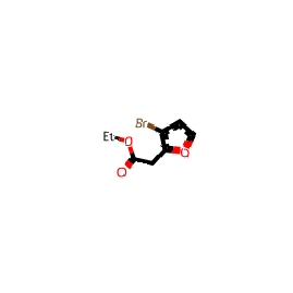 CCOC(=O)Cc1occc1Br